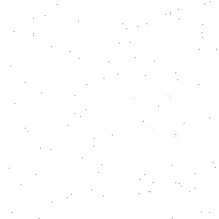 N#C/N=C1\NCCN1C(=O)C(Cl)=C(Cl)Cl